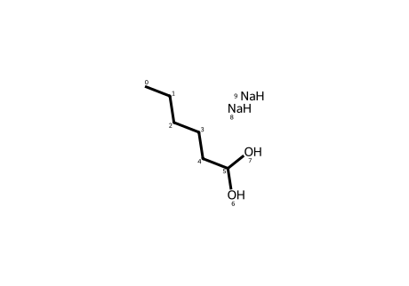 CCCCCC(O)O.[NaH].[NaH]